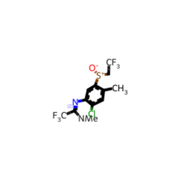 CN/C(=N\c1cc([S+]([O-])CC(F)(F)F)c(C)cc1Cl)C(F)(F)F